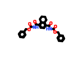 O=C(NC(=O)c1ccc(C(=O)NC(=O)OCc2ccccc2)c2c1CCCC2)OCc1ccccc1